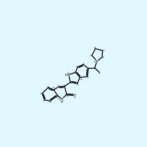 CC(c1ccc2[nH]c(-c3cc4ccccc4[nH]c3=O)cc2c1)N1CCCC1